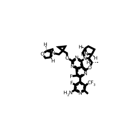 Cc1nc(N)c(F)c(-c2nc3c4c(nc(OCC5(CN6C[C@H]7C[C@@H]6CO7)CC5)nc4c2F)N2C[C@H]4CC[C@H](N4)[C@H]2[C@H](C)O3)c1C(F)(F)F